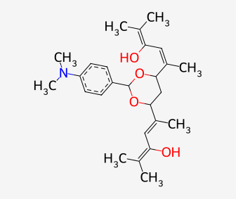 CC(C)=C(O)/C=C(/C)C1CC(/C(C)=C/C(O)=C(C)C)OC(c2ccc(N(C)C)cc2)O1